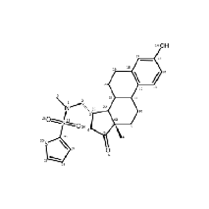 CN(C[C@H]1CC(=O)[C@@]2(C)CCC3c4ccc(O)cc4CCC3C12)S(=O)(=O)c1cccs1